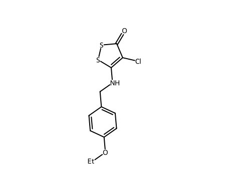 CCOc1ccc(CNc2ssc(=O)c2Cl)cc1